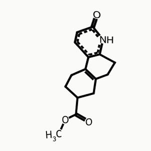 COC(=O)C1CCC2=C(CCc3[nH]c(=O)ccc32)C1